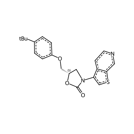 CC(C)(C)c1ccc(OC[C@@H]2CN(c3csc4cnccc34)C(=O)O2)cc1